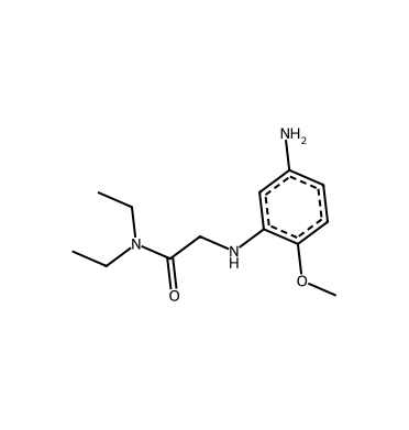 CCN(CC)C(=O)CNc1cc(N)ccc1OC